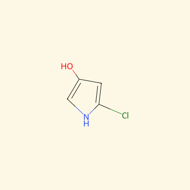 Oc1c[nH]c(Cl)c1